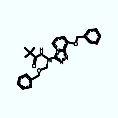 CC(C)(C)C(=O)N[C@H](COCc1ccccc1)c1nnc2c(OCc3ccccc3)cccn12